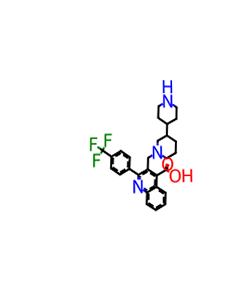 O=C(O)c1c(CN2CCCC(C3CCNCC3)C2)c(-c2ccc(C(F)(F)F)cc2)nc2ccccc12